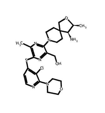 Cc1nc(N2CCC3(CC2)CO[C@@H](C)[C@H]3N)c(CO)nc1Sc1ccnc(N2CCOCC2)c1Cl